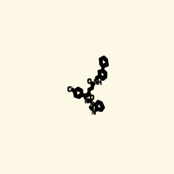 O=C(CCc1oc(-n2cnc3ccccc32)nc1-c1ccc(Cl)cc1)NCc1cccc(-c2ccccc2)c1